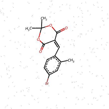 Cc1cc(Br)ccc1C=C1C(=O)OC(C)(C)OC1=O